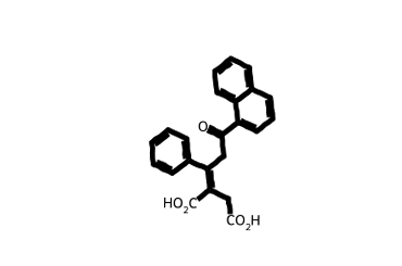 O=C(O)CC(C(=O)O)=C(CC(=O)c1cccc2ccccc12)c1ccccc1